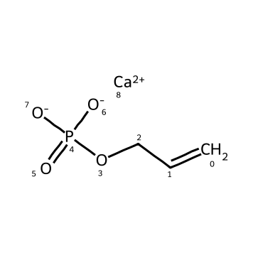 C=CCOP(=O)([O-])[O-].[Ca+2]